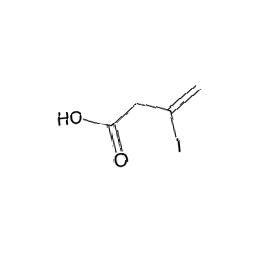 C=C(I)CC(=O)O